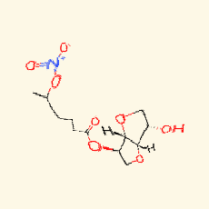 CC(CCCC(=O)O[C@@H]1CO[C@@H]2[C@H]1OC[C@@H]2O)O[N+](=O)[O-]